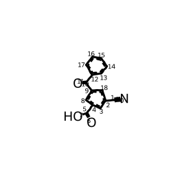 N#Cc1cc(C(=O)O)cc(C(=O)c2ccccc2)c1